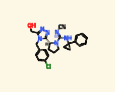 N#C/N=C(\NC1(c2ccccc2)CC1)N1CCC[C@@H]1c1nnc(CO)n1Cc1ccc(Cl)cc1